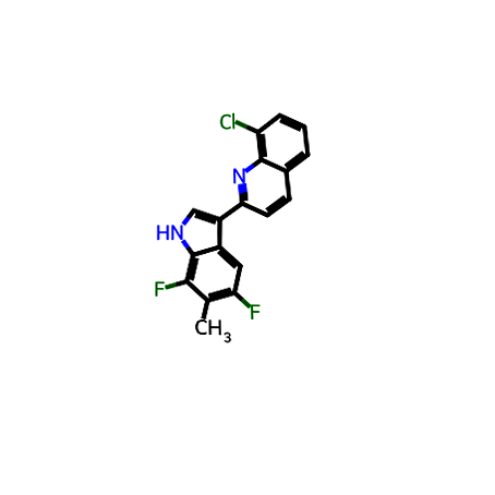 Cc1c(F)cc2c(-c3ccc4cccc(Cl)c4n3)c[nH]c2c1F